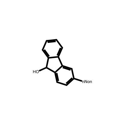 CCCCCCCCCc1ccc2c(c1)-c1ccccc1C2O